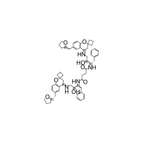 O=C(CCC(=O)N[C@@H](Cc1ccccc1)[C@@H](O)CN[C@H]1CC2(CCC2)Oc2ccc(C[C@@H]3CCCO3)cc21)N[C@@H](Cc1ccccc1)[C@@H](O)CN[C@H]1CC2(CCC2)Oc2ccc(C[C@H]3CCCO3)cc21